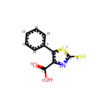 O=C(O)c1nc(S)sc1-c1ccccc1